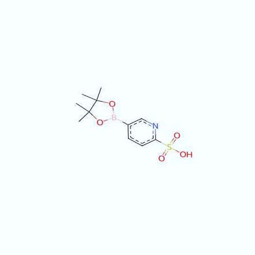 CC1(C)OB(c2ccc(S(=O)(=O)O)nc2)OC1(C)C